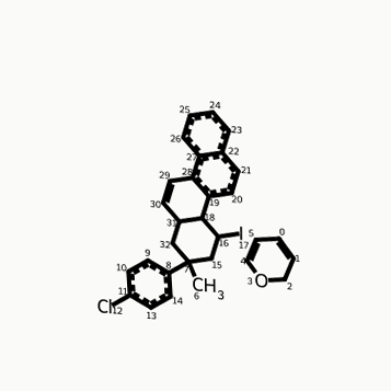 C1=CCOC=C1.CC1(c2ccc(Cl)cc2)CC(I)C2c3ccc4ccccc4c3C=CC2C1